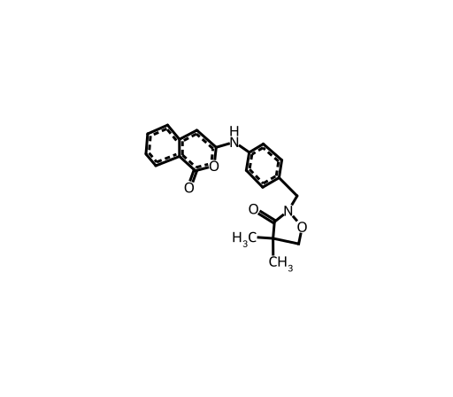 CC1(C)CON(Cc2ccc(Nc3cc4ccccc4c(=O)o3)cc2)C1=O